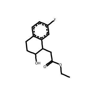 CCOC(=O)CC1c2cc(F)ccc2CCC1O